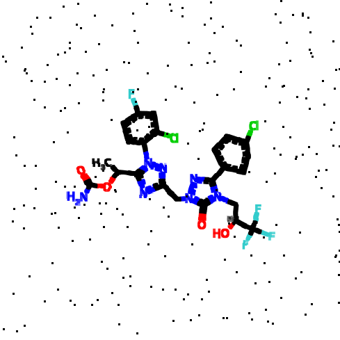 CC(OC(N)=O)c1nc(Cn2nc(-c3ccc(Cl)cc3)n(C[C@H](O)C(F)(F)F)c2=O)nn1-c1ccc(F)cc1Cl